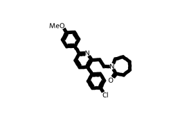 COc1ccc(-c2ccc(-c3ccc(Cl)cc3)c(CCN3CCCCCC3=O)n2)cc1